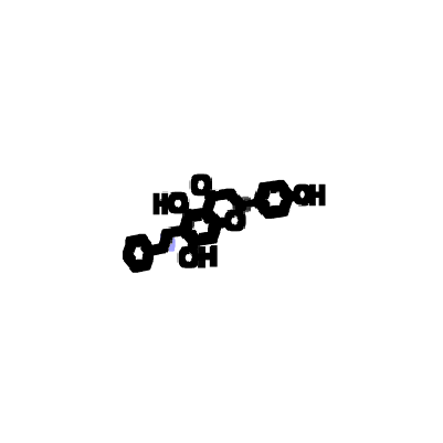 O=C1C[C@@H](c2ccc(O)cc2)Oc2cc(O)c(/C=C/c3ccccc3)c(O)c21